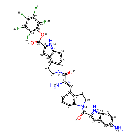 N/C(=C\c1cccc2c1CCN2C(=O)c1cc2cc(N)ccc2[nH]1)C(=O)N1CCc2c1ccc1[nH]c(C(=O)Oc3c(F)c(F)c(F)c(F)c3F)cc21